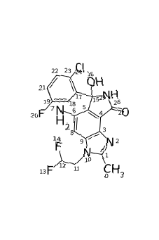 Cc1nc2c3c(c(N)cc2n1CC(F)F)C(O)(c1cc(F)ccc1Cl)NC3=O